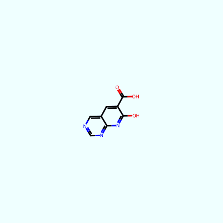 O=C(O)c1cc2cncnc2nc1O